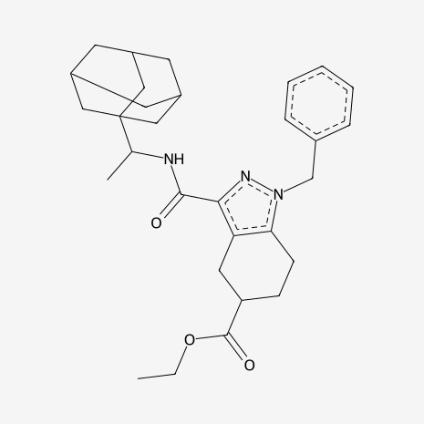 CCOC(=O)C1CCc2c(c(C(=O)NC(C)C34CC5CC(CC(C5)C3)C4)nn2Cc2ccccc2)C1